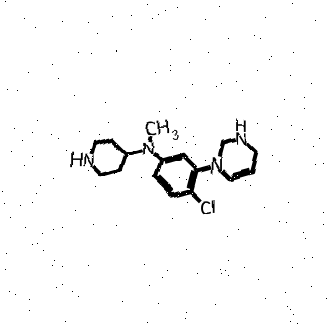 CN(c1ccc(Cl)c(N2C=CCNC2)c1)C1CCNCC1